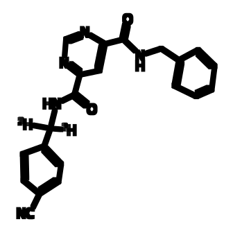 [2H]C([2H])(NC(=O)c1cc(C(=O)NCc2ccccc2)ncn1)c1ccc(C#N)cc1